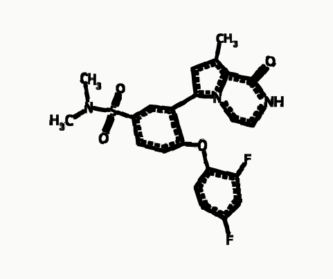 Cc1cc(-c2cc(S(=O)(=O)N(C)C)ccc2Oc2ccc(F)cc2F)n2cc[nH]c(=O)c12